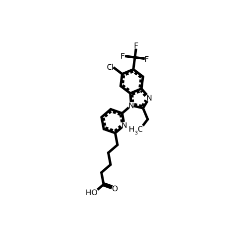 CCc1nc2cc(C(F)(F)F)c(Cl)cc2n1-c1cccc(CCCCC(=O)O)n1